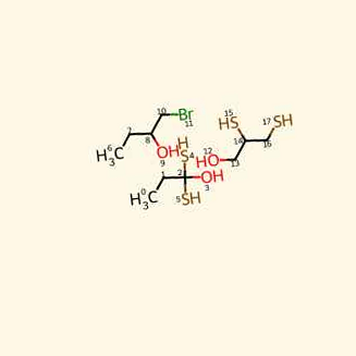 CCC(O)(S)S.CCC(O)CBr.OCC(S)CS